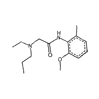 CCCN(CC)CC(=O)Nc1c(C)cccc1OC